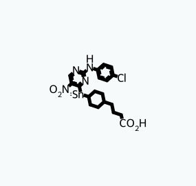 O=C(O)CCCC1CC[CH]([Sn][c]2nc(Nc3ccc(Cl)cc3)ncc2[N+](=O)[O-])CC1